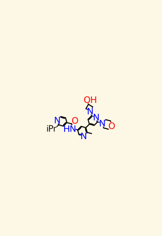 Cc1ncc(NC(=O)c2ccnc(C(C)C)c2)cc1-c1cc(N2CCOCC2)nc(N2CC(O)C2)c1